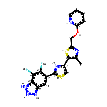 Cc1nc(COc2ccccn2)sc1-c1csc(-c2cc3nn[nH]c3c(F)c2F)n1